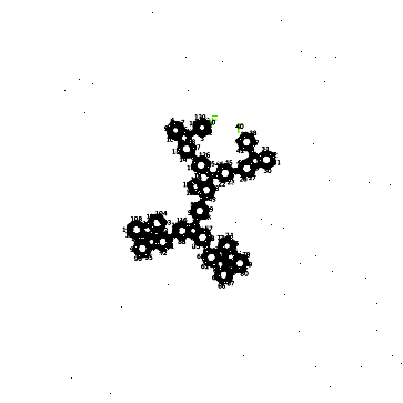 Fc1ccc(C2c3ccccc3C3CCC(C4CCC(C(C5CCC(C6CCC7C8CCCCC8C(C8CCC(F)CC8)C7C6)CC5)C5CCC(C6CCC(C7C8CCC(C9CCC%10C%11CCC=CC%11C%11(c%12ccccc%12C%12CCCCC%12%11)C%10C9)CC8C8CC(C9CCC%10C%11CCCCC%11C%11(C%12CC=CCC%12C%12CCCCC%12%11)C%10C9)CCC87)CC6)C6CCCC65)CC4)CC32)cc1